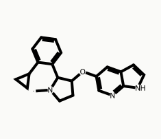 [CH2]N1CCC(Oc2cnc3[nH]ccc3c2)C1c1ccccc1C1CC1